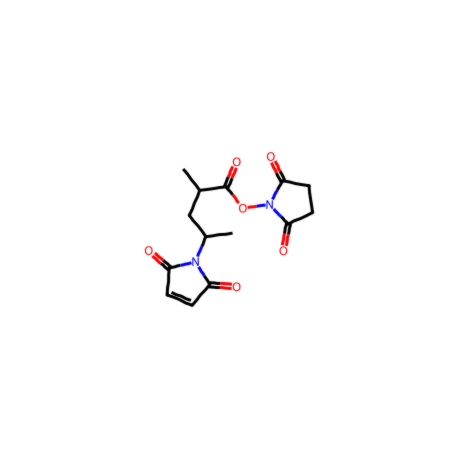 CC(CC(C)N1C(=O)C=CC1=O)C(=O)ON1C(=O)CCC1=O